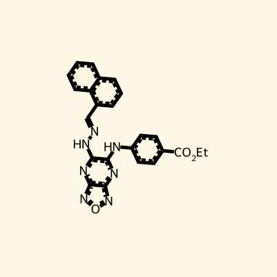 CCOC(=O)c1ccc(Nc2nc3nonc3nc2N/N=C/c2cccc3ccccc23)cc1